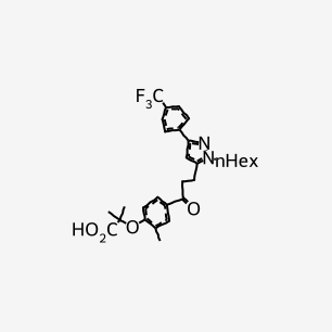 CCCCCCn1nc(-c2ccc(C(F)(F)F)cc2)cc1CCC(=O)c1ccc(OC(C)(C)C(=O)O)c(C)c1